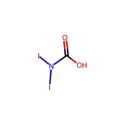 O=C(O)N(I)I